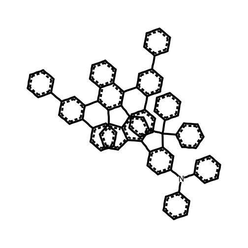 c1ccc(-c2ccc(-c3ccccc3)c(-c3c4c(c(-c5cc(-c6ccccc6)ccc5-c5ccccc5)c5ccccc35)-c3cc5c(c6cccc-4c36)-c3ccc(N(c4ccccc4)c4ccccc4)cc3C5(c3ccccc3)c3ccccc3)c2)cc1